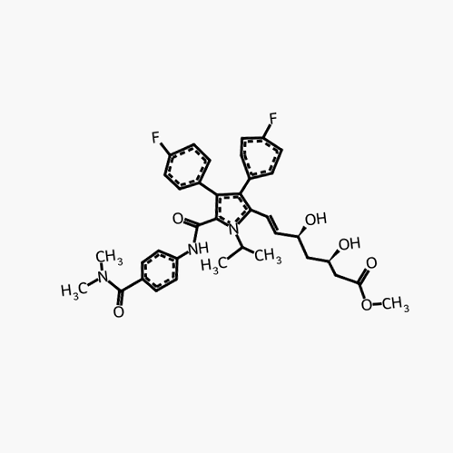 COC(=O)C[C@H](O)C[C@H](O)/C=C/c1c(-c2ccc(F)cc2)c(-c2ccc(F)cc2)c(C(=O)Nc2ccc(C(=O)N(C)C)cc2)n1C(C)C